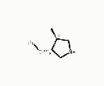 CC(C)O[C@H]1CNC[C@@H]1C